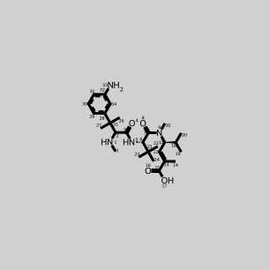 CNC(C(=O)N[C@H](C(=O)N(C)[C@H](/C=C(\C)C(=O)O)C(C)C)C(C)(C)C)C(C)(C)c1cccc(N)c1